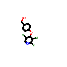 OCc1ccc(Oc2c(Cl)cnc(Cl)c2Cl)cc1